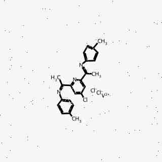 CC(=Nc1ccc(C)cc1)c1cc(Cl)cc(C(C)=Nc2ccc(C)cc2)n1.[Cl-].[Cl-].[V+2]